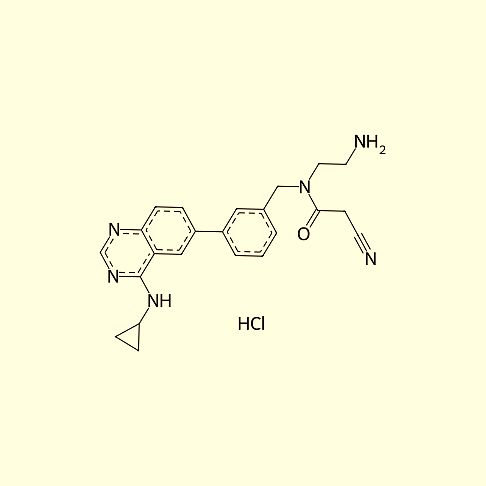 Cl.N#CCC(=O)N(CCN)Cc1cccc(-c2ccc3ncnc(NC4CC4)c3c2)c1